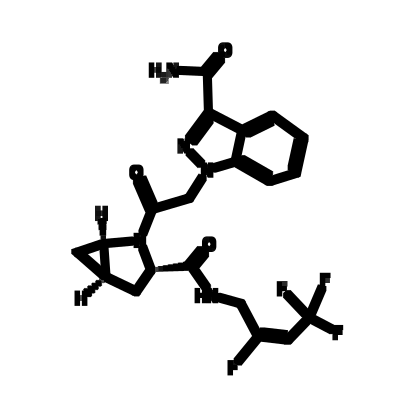 NC(=O)c1nn(CC(=O)N2[C@@H]3C[C@@H]3C[C@H]2C(=O)NC/C(F)=C\C(F)(F)F)c2ccccc12